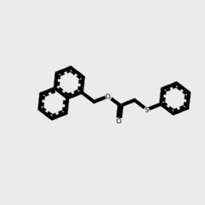 O=C(CSc1ccccc1)OCc1cccc2ccccc12